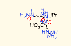 CC(C)C[C@@H](NC(=O)[C@@H](N)CCCNC(N)=O)C(=O)N[C@@H](CCCNC(=N)N)C(=O)O